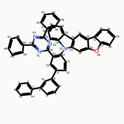 c1ccc(-c2cccc(-c3ccc(-n4c5ccccc5c5cc6c(cc54)oc4ccccc46)c(-c4nc(-c5ccccc5)nc(-c5ccccc5)n4)c3)c2)cc1